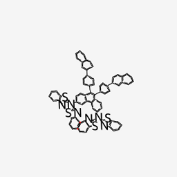 c1ccc2cc(-c3ccc(-c4c(-c5ccc(-c6ccc7ccccc7c6)cc5)c5ccc(N(c6nc7ccccc7s6)c6nc7ccccc7s6)cc5c5cc(N(c6nc7ccccc7s6)c6nc7ccccc7s6)ccc45)cc3)ccc2c1